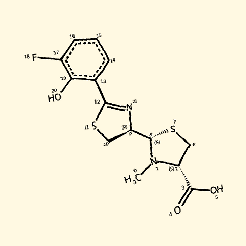 CN1[C@@H](C(=O)O)CS[C@H]1[C@H]1CSC(c2cccc(F)c2O)=N1